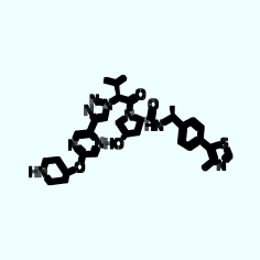 Cc1ncsc1-c1ccc([C@H](C)NC(=O)[C@@H]2C[C@@H](O)CN2C(=O)[C@H](C(C)C)n2cc(-c3cnc(OC4CCNCC4)cn3)nn2)cc1